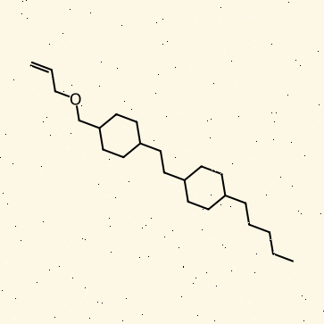 C=CCOCC1CCC(CCC2CCC(CCCCC)CC2)CC1